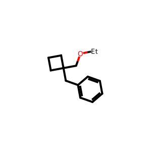 CCOCC1(Cc2ccccc2)CCC1